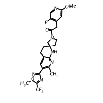 COc1cc(CC(=O)N2CC[C@@]3(CCc4cc(-c5nc(C(F)(F)F)n(C)n5)c(C)nc4N3)C2)c(F)cn1